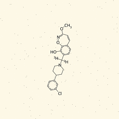 [2H]C([2H])(c1ccc2c(c1O)ON=C(OC)C=C2)N1CCC(c2cccc(Cl)c2)CC1